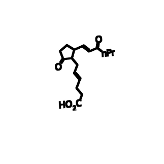 CCCC(=O)C=CC1CCC(=O)C1CC=CCCC(=O)O